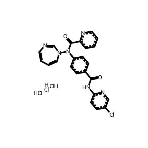 Cl.Cl.Cl.O=C(Nc1ccc(Cl)cn1)c1ccc(N(C(=O)c2ccccn2)N2C=CC=CN=C2)cc1